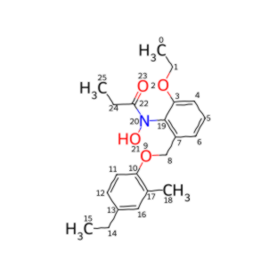 CCOc1cccc(COc2ccc(CC)cc2C)c1N(O)C(=O)CC